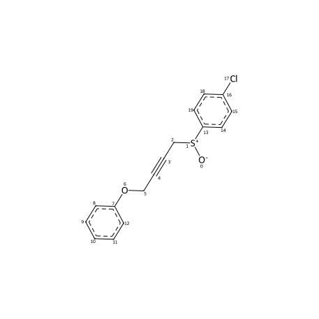 [O-][S+](CC#CCOc1ccccc1)c1ccc(Cl)cc1